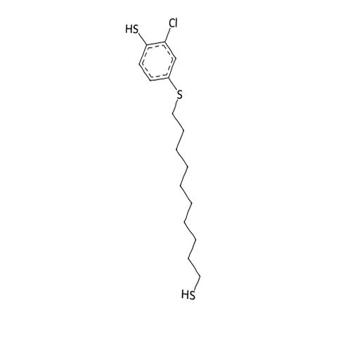 SCCCCCCCCCCSc1ccc(S)c(Cl)c1